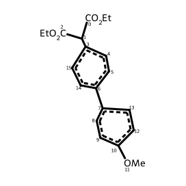 CCOC(=O)C(C(=O)OCC)c1ccc(-c2ccc(OC)cc2)cc1